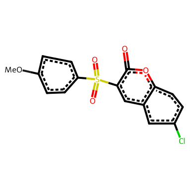 COc1ccc(S(=O)(=O)c2cc3cc(Cl)ccc3oc2=O)cc1